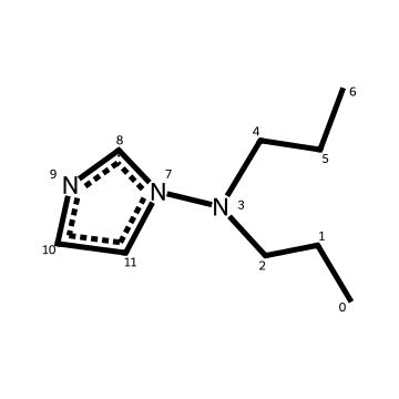 CCCN(CCC)n1[c]ncc1